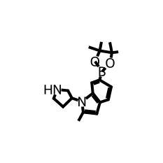 Cc1cc2ccc(B3OC(C)(C)C(C)(C)O3)cc2n1C1CCNC1